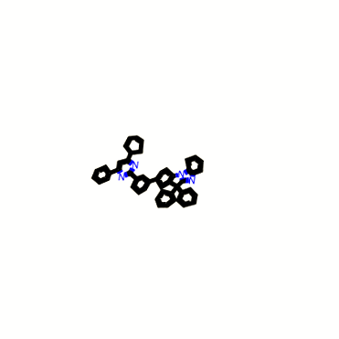 C1=CCC(c2cc(-c3ccccc3)nc(-c3cccc(-c4ccc5c(c4)C(c4ccccc4)(c4ccccc4)c4nc6ccccc6n4-5)c3)n2)C=C1